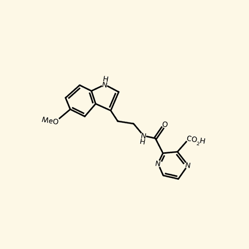 COc1ccc2[nH]cc(CCNC(=O)c3nccnc3C(=O)O)c2c1